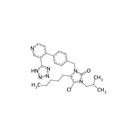 CCCCCc1c(Cl)n(CC(C)C)c(=O)n1Cc1ccc(-c2ccncc2-c2nnn[nH]2)cc1